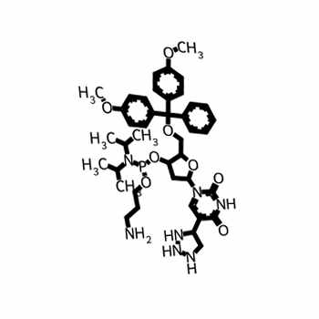 COc1ccc(C(OCC2OC(n3cc(C4CNNN4)c(=O)[nH]c3=O)CC2OP(OCCCN)N(C(C)C)C(C)C)(c2ccccc2)c2ccc(OC)cc2)cc1